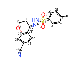 Cc1ccc(S(=O)(=O)NN=C2CCOc3cc(C#N)ccc32)cc1